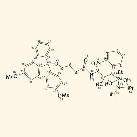 CCP(O)(O)(C(c1ccccc1[N+](=O)[O-])C(C#N)CNC(=O)CCCOC(c1ccccc1)(c1ccc(OC)cc1)c1ccc(OC)cc1)N(C(C)C)C(C)C